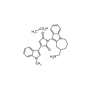 CC(=O)O.Cn1cc(C2=CC(=O)N(c3c4n(c5ccccc35)CCCC(CN)C4)C2=O)c2ccccc21